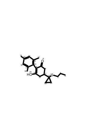 CCCSC1(C2CC(=O)C(c3c(C)cc(C)cc3C)=C(O)C2)CC1